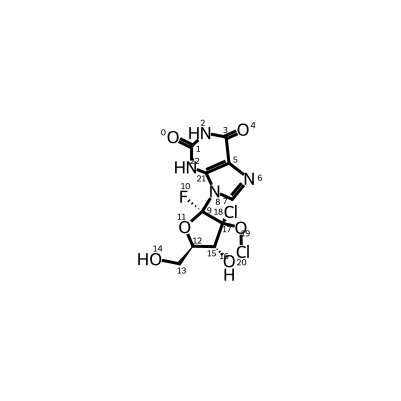 O=c1[nH]c(=O)c2ncn([C@]3(F)O[C@H](CO)[C@@H](O)[C@@]3(Cl)OCl)c2[nH]1